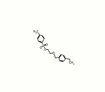 CCc1ccc(COCCOS(=O)(=O)c2ccc(C)cc2)cc1